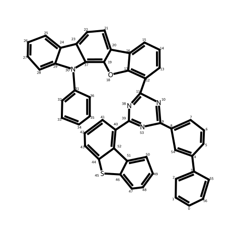 c1ccc(-c2cccc(-c3nc(-c4cccc5c4oc4c5ccc5c6ccccc6n(-c6ccccc6)c54)nc(-c4cccc5sc6ccccc6c45)n3)c2)cc1